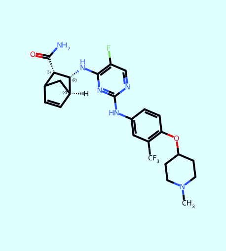 CN1CCC(Oc2ccc(Nc3ncc(F)c(N[C@@H]4[C@H]5C=CC(C5)[C@@H]4C(N)=O)n3)cc2C(F)(F)F)CC1